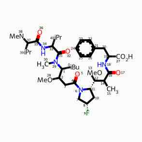 CCC(C)C(C(CC(=O)N1C[C@@H](F)C[C@H]1C(OC)C(C)C(=O)NC(Cc1ccccc1)C(=O)O)OC)N(C)C(=O)C(NC(=O)C(NC)C(C)C)C(C)C